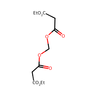 CCOC(=O)CC(=O)OCOC(=O)CC(=O)OCC